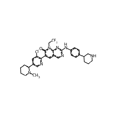 CN1CCCCC1c1cnc(-c2cc3cnc(Nc4ccc(C5CCCNC5)cc4)nc3n(CC(F)(F)F)c2=O)c(Cl)c1